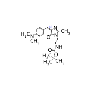 CC1=N/C(=C/c2ccc(N(C)C)cc2)C(=O)N1CCNC(=O)OC(C)(C)C